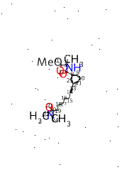 COC(=O)C(C)NC(=O)c1cccc(C#CCCCCCC(=O)N(C)C)c1